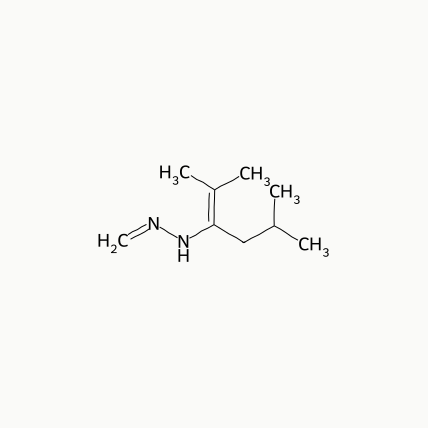 C=NNC(CC(C)C)=C(C)C